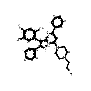 OCCN1CCN(c2cc(-c3ccccc3)nc3c(-c4cc(F)c(F)cc4F)c(-c4ccccc4)nn23)CC1